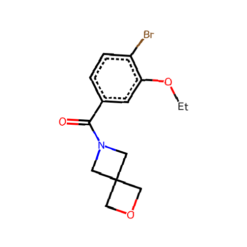 CCOc1cc(C(=O)N2CC3(COC3)C2)ccc1Br